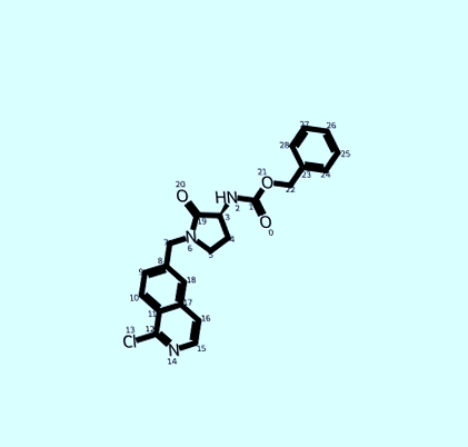 O=C(N[C@H]1CCN(Cc2ccc3c(Cl)nccc3c2)C1=O)OCc1ccccc1